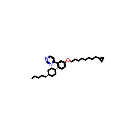 CCCCC[C@H]1CC[C@H](c2ccc(OCCCCCCCCC3CC3)cc2-c2ccncn2)CC1